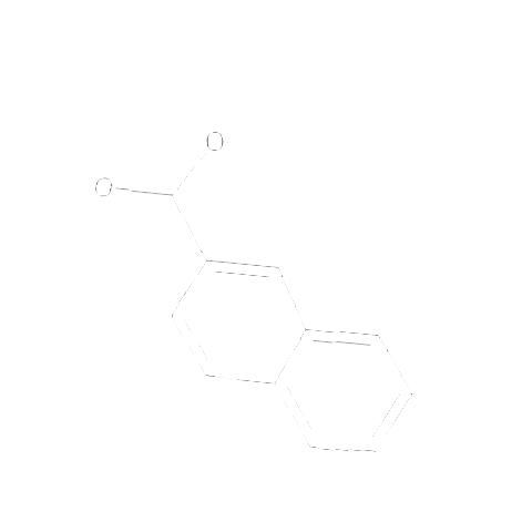 [O]C([O])c1ccc2ccccc2c1